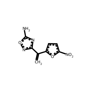 C=C(c1noc(N)n1)c1ccc([N+](=O)[O-])o1